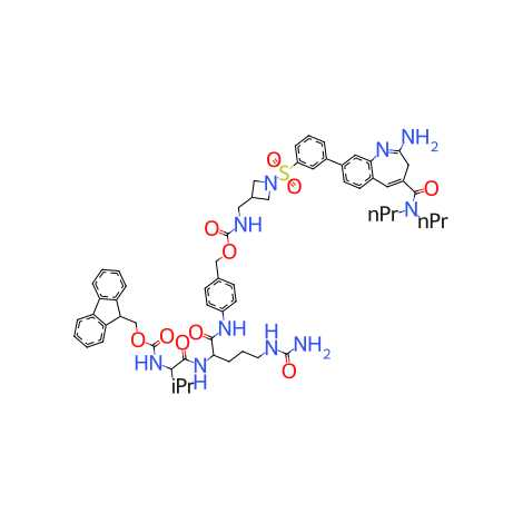 CCCN(CCC)C(=O)C1=Cc2ccc(-c3cccc(S(=O)(=O)N4CC(CNC(=O)OCc5ccc(NC(=O)C(CCCNC(N)=O)NC(=O)C(NC(=O)OCC6c7ccccc7-c7ccccc76)C(C)C)cc5)C4)c3)cc2N=C(N)C1